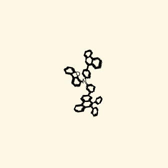 c1ccc(-c2c(-c3ccccc3)c3cc(-c4cccc(N(c5ccc(-c6cc7ccccc7c7ccccc67)cc5)c5cccc6c5oc5ccccc56)c4)ccc3c3ccccc23)cc1